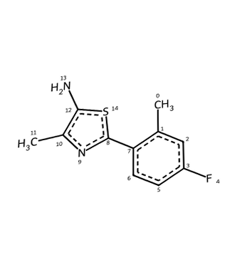 Cc1cc(F)ccc1-c1nc(C)c(N)s1